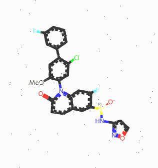 COc1cc(-c2cccc(F)c2)c(Cl)cc1-n1c(=O)ccc2cc([S@+]([O-])Nc3ccon3)c(F)cc21